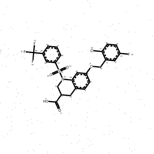 O=C(O)C1Cc2ccc(OCc3cc(F)ccc3Cl)cc2N(S(=O)(=O)c2cccc(C(F)(F)F)c2)C1